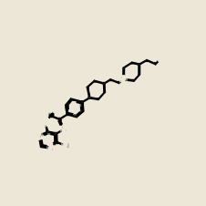 CC1(C)Oc2ncnc(N)c2N=C1c1ccc(C2CCC(CCN3CCC(CCO)CC3)CC2)cc1